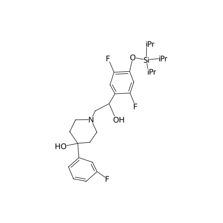 CC(C)[Si](Oc1cc(F)c(C(O)CN2CCC(O)(c3cccc(F)c3)CC2)cc1F)(C(C)C)C(C)C